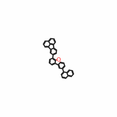 c1ccc2c(-c3ccc4oc5c(-c6ccc7c(c6)-c6cccc8cccc-7c68)cccc5c4c3)cccc2c1